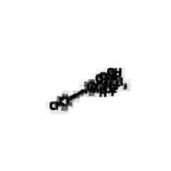 COC(C)(C(F)F)[C@H](NC(=O)c1ccc(C#CC#Cc2ccc(Cl)cc2)cc1)C(=O)NO